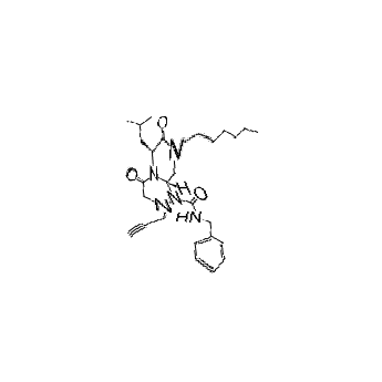 C#CCN1CC(=O)N2[C@@H](CC(C)C)C(=O)N(CCCCCC)C[C@@H]2N1C(=O)NCc1ccccc1